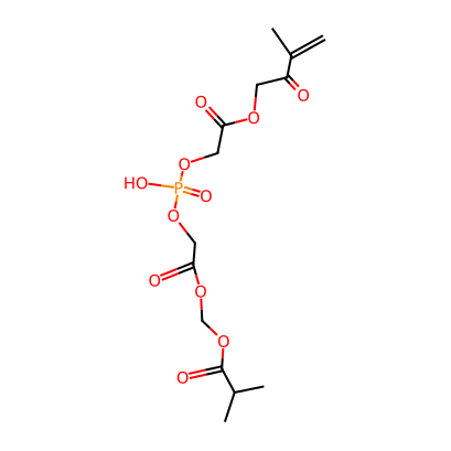 C=C(C)C(=O)COC(=O)COP(=O)(O)OCC(=O)OCOC(=O)C(C)C